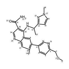 COCc1ccc(-c2cc3c(NC(C)c4ccn(C)n4)c(C(N)=O)cnc3cc2F)cn1